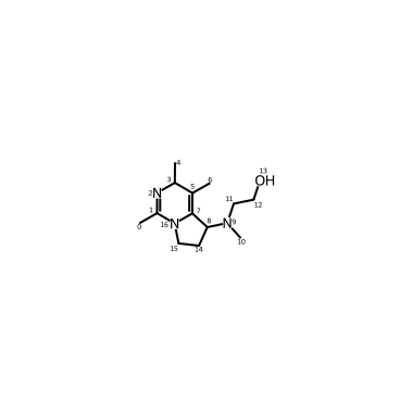 CC1=NC(C)C(C)=C2C(N(C)CCO)CCN12